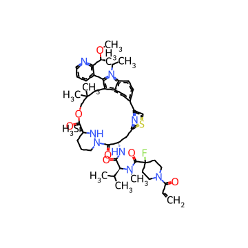 C=CC(=O)N1CCC(F)(C(=O)N(C)[C@H](C(=O)N[C@H]2Cc3nc(cs3)-c3ccc4c(c3)c(c(-c3cccnc3[C@H](C)OC)n4CC)CC(C)(C)COC(=O)[C@@]3([SiH3])CCCN(N3)C2=O)C(C)C)CC1